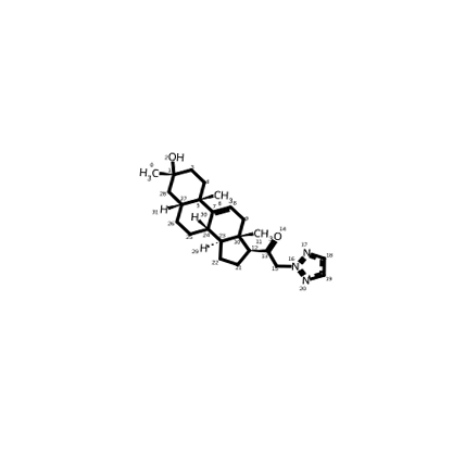 C[C@@]1(O)CC[C@]2(C)C3=CC[C@]4(C)[C@@H](C(=O)Cn5nccn5)CC[C@H]4[C@@H]3CC[C@@H]2C1